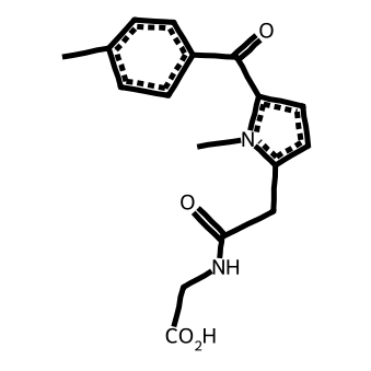 Cc1ccc(C(=O)c2ccc(CC(=O)NCC(=O)O)n2C)cc1